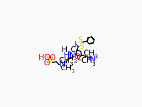 CC(CC(C)(C(=O)NCCC[N+](C)(C)CCCS(=O)(=O)O)C(I)SC(=S)c1ccccc1)C(C)(C)C#N